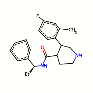 CC[C@H](NC(=O)C1CCNCC1c1ccc(F)cc1C)c1ccccc1